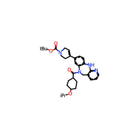 CC(C)OC1CCC(C(=O)N2Cc3cccnc3Nc3ccc(C4=CCN(C(=O)OC(C)(C)C)CC4)cc32)CC1